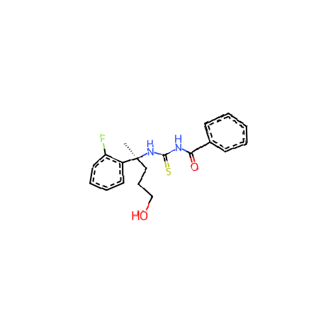 C[C@@](CCCO)(NC(=S)NC(=O)c1ccccc1)c1ccccc1F